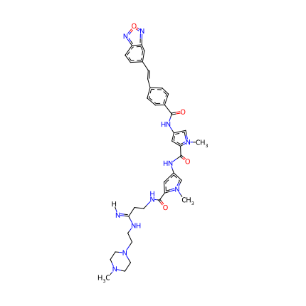 [H]/N=C(\CCNC(=O)c1cc(NC(=O)c2cc(NC(=O)c3ccc(C=Cc4ccc5nonc5c4)cc3)cn2C)cn1C)NCCN1CCN(C)CC1